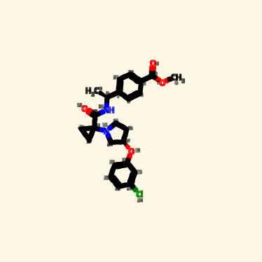 COC(=O)c1ccc([C@H](C)NC(=O)C2(N3CC[C@@H](Oc4cccc(Cl)c4)C3)CC2)cc1